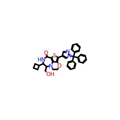 O=C1NC(C2CCC2)C(CO)N2CCOc3c(-c4cnn(C(c5ccccc5)(c5ccccc5)c5ccccc5)c4)sc1c32